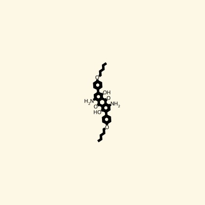 CCCCCOc1ccc(-c2cc(N)c3c(c2O)C(=O)c2c(N)cc(-c4ccc(OCCCCC)cc4)c(O)c2C3=O)cc1